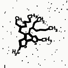 CCCCC(CC)Cc1c(CC(CC)CCCC)c2cc(C)sc2c2sc(C)cc12